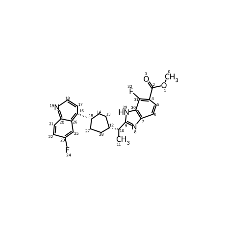 COC(=O)c1ccc2nc(C(C)[C@H]3CC[C@@H](c4ccnc5ccc(F)cc54)CC3)[nH]c2c1F